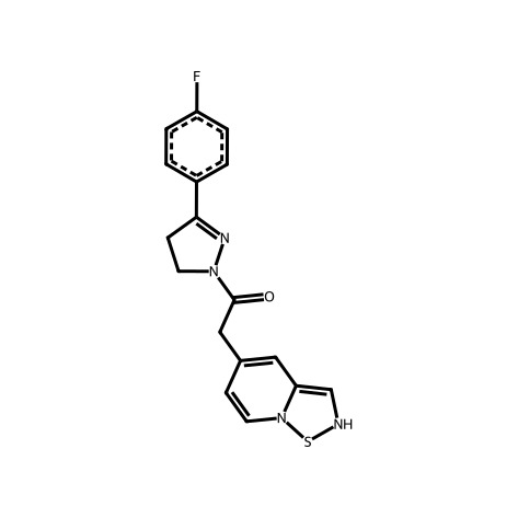 O=C(CC1=CC2=CNSN2C=C1)N1CCC(c2ccc(F)cc2)=N1